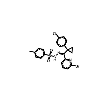 Cc1ccc(S(=O)(=O)NN=C(c2cccc(Br)n2)C2(c3ccc(Cl)cc3)CC2)cc1